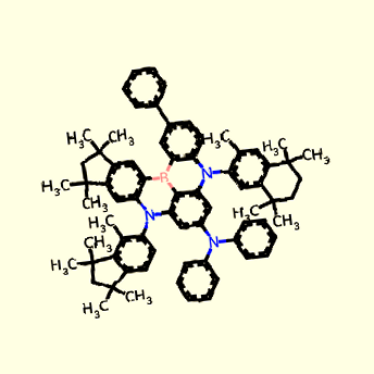 Cc1cc2c(cc1N1c3ccc(-c4ccccc4)cc3B3c4cc5c(cc4N(c4ccc6c(c4C)C(C)(C)CC6(C)C)c4cc(N(c6ccccc6)c6ccccc6)cc1c43)C(C)(C)CC5(C)C)C(C)(C)CCC2(C)C